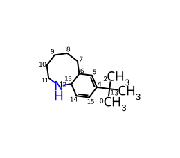 CC(C)(C)C1=CC2CCCCCNC2C=C1